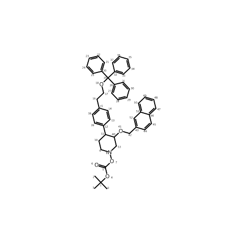 CC(C)(C)OC(=O)ON1CCC(c2ccc(CCOC(c3ccccc3)(c3ccccc3)c3ccccc3)cc2)C(OCc2ccc3ccccc3c2)C1